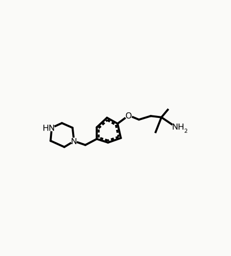 CC(C)(N)CCOc1ccc(CN2CCNCC2)cc1